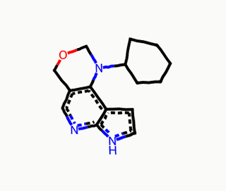 c1cc2c3c(cnc2[nH]1)COCN3C1CCCCC1